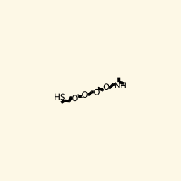 CC(S)CCOCCOCCOCCOCCNC(C)C